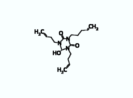 C=CCCCN1C(=O)N(CCC=C)C(O)N(CCC=C)C1=O